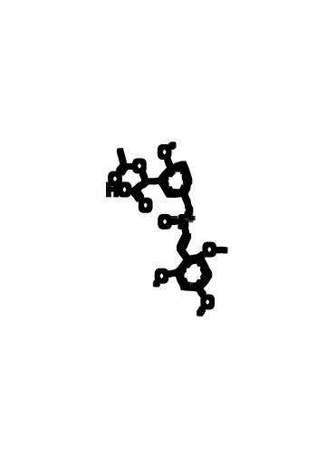 COc1cc(OC)c(C=C[S+]([O-])Cc2ccc(OC)c(C(OC(C)=O)C(=O)O)c2)c(OC)c1